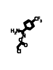 NC(=NOC(=O)CCl)c1ccc(C(F)(F)F)cc1